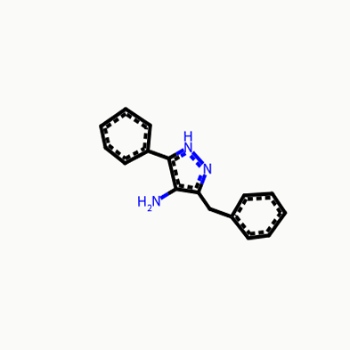 Nc1c(Cc2ccccc2)n[nH]c1-c1ccccc1